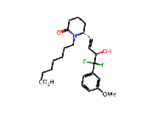 COc1cccc(C(F)(F)[C@H](O)/C=C/[C@H]2CCCC(=O)N2CCCCCCC(=O)O)c1